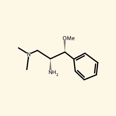 CO[C@H](c1ccccc1)[C@H](N)CN(C)C